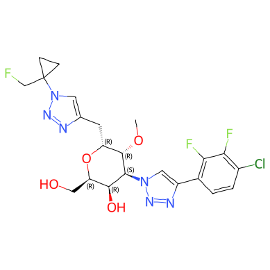 CO[C@@H]1[C@@H](n2cc(-c3ccc(Cl)c(F)c3F)nn2)[C@@H](O)[C@@H](CO)O[C@@H]1Cc1cn(C2(CF)CC2)nn1